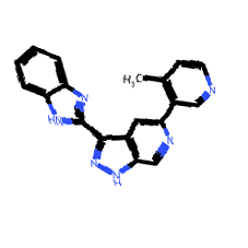 Cc1ccncc1-c1cc2c(-c3nc4ccccc4[nH]3)n[nH]c2cn1